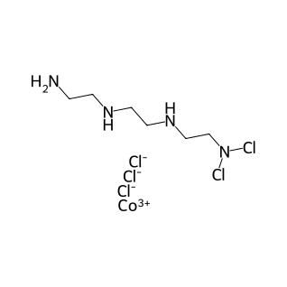 NCCNCCNCCN(Cl)Cl.[Cl-].[Cl-].[Cl-].[Co+3]